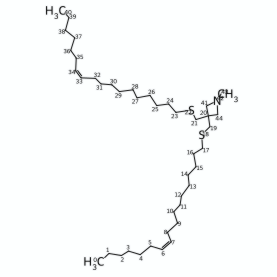 CCCCCC/C=C\CCCCCCCCCCSCC1(CSCCCCCCCCCC/C=C\CCCCCC)CN(C)C1